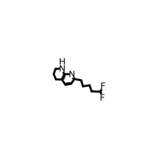 FC(F)CCCCc1ccc2c(n1)NCCC2